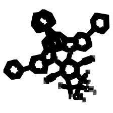 CC1(C)C(F)(F)c2c(C#N)c(-n3c4ccc(-c5ccccc5)cc4c4cc(-c5ccccc5)ccc43)c(-n3c4ccc(-c5ccccc5)cc4c4cc(-c5ccccc5)ccc43)c(C#N)c2C1(F)F